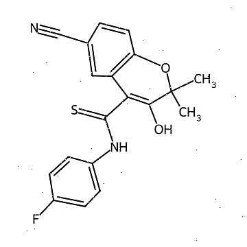 CC1(C)Oc2ccc(C#N)cc2C(C(=S)Nc2ccc(F)cc2)=C1O